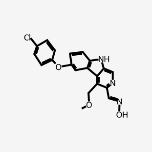 COCc1c(C=NO)ncc2[nH]c3ccc(Oc4ccc(Cl)cc4)cc3c12